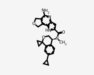 CN(C(=O)c1cc2nc(N)c3c(c2[nH]1)COC3)[C@@H]1COC2(CC2)c2cc(C3CC3)ccc21